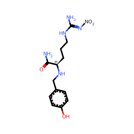 NC(=O)[C@@H](CCCNC(N)=N[N+](=O)[O-])NCc1ccc(O)cc1